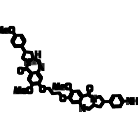 COc1ccc(C2C[C@H]3C=Nc4cc(OCCCOc5cc6c(cc5OC)C(=O)N5CC(c7ccc(N)cc7)CC5C=N6)c(OC)cc4C(=O)N3C2)cc1